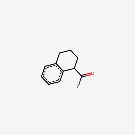 O=C(Cl)C1CCCc2ccccc21